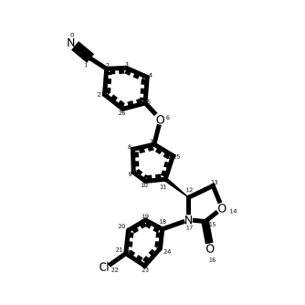 N#Cc1ccc(Oc2cccc([C@H]3COC(=O)N3c3ccc(Cl)cc3)c2)cc1